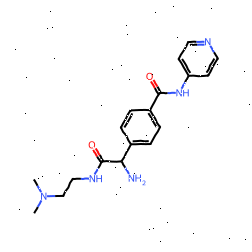 CN(C)CCNC(=O)C(N)c1ccc(C(=O)Nc2ccncc2)cc1